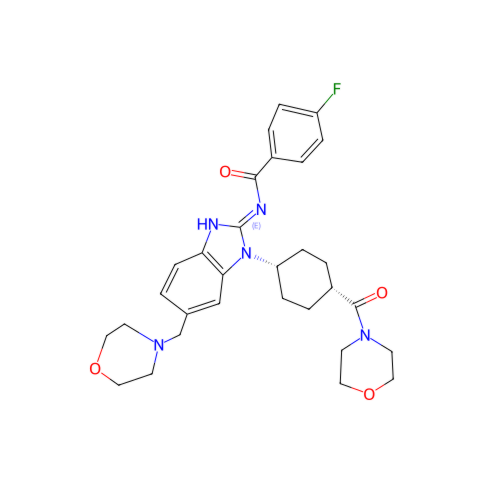 O=C(/N=c1\[nH]c2ccc(CN3CCOCC3)cc2n1[C@H]1CC[C@@H](C(=O)N2CCOCC2)CC1)c1ccc(F)cc1